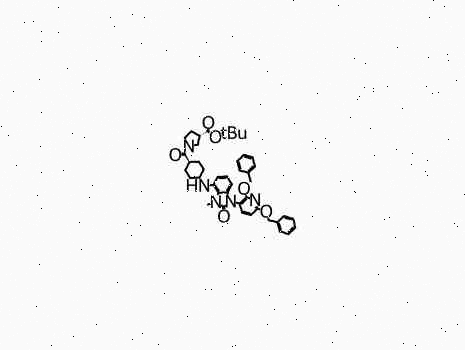 Cn1c(=O)n(-c2ccc(OCc3ccccc3)nc2OCc2ccccc2)c2cccc(N[C@H]3CC[C@H](C(=O)N4CC[C@H](C(=O)OC(C)(C)C)C4)CC3)c21